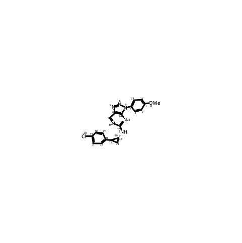 COc1ccc(-n2nnc3cnc(N[C@@H]4CC4c4ccc(Cl)cc4)nc32)cc1